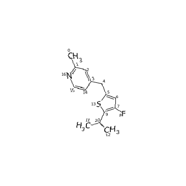 Cc1cc(Cc2cc(F)c(C(C)C)s2)ccn1